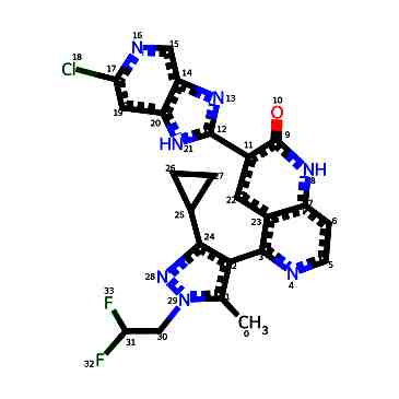 Cc1c(-c2nccc3[nH]c(=O)c(-c4nc5cnc(Cl)cc5[nH]4)cc23)c(C2CC2)nn1CC(F)F